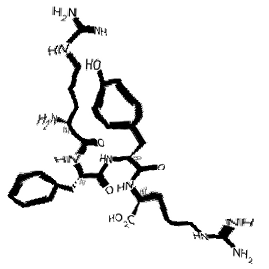 N=C(N)NCCC[C@H](NC(=O)[C@H](Cc1ccc(O)cc1)NC(=O)[C@H](Cc1ccccc1)NC(=O)[C@@H](N)CCCNC(=N)N)C(=O)O